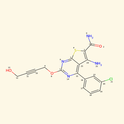 NC(=O)c1sc2nc(OCC#CCO)nc(-c3cccc(Cl)c3)c2c1N